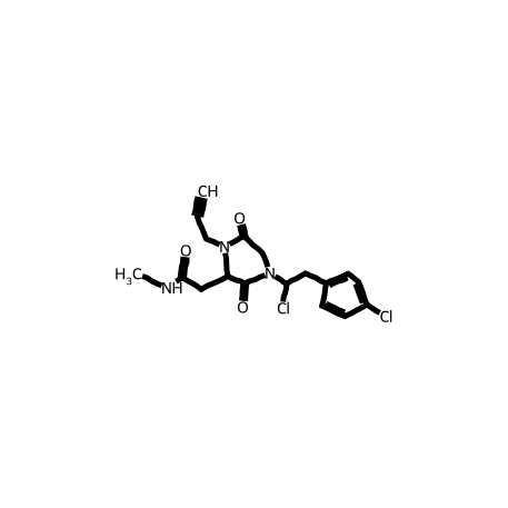 C#CCN1C(=O)CN(C(Cl)Cc2ccc(Cl)cc2)C(=O)C1CC(=O)NC